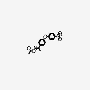 CC(=O)O/N=C(\C)c1ccc(Oc2ccc([N+](=O)[O-])cc2)cc1